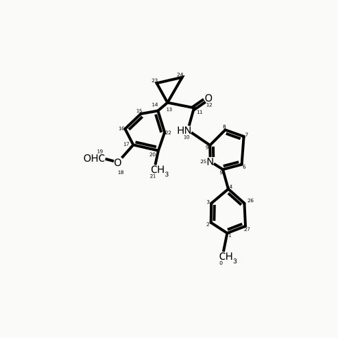 Cc1ccc(-c2cccc(NC(=O)C3(c4ccc(OC=O)c(C)c4)CC3)n2)cc1